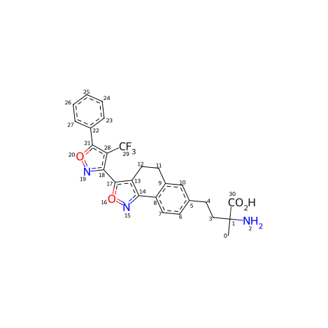 CC(N)(CCc1ccc2c(c1)CCc1c-2noc1-c1noc(-c2ccccc2)c1C(F)(F)F)C(=O)O